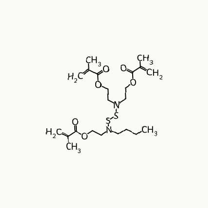 C=C(C)C(=O)OCCN(CCCC)SSN(CCOC(=O)C(=C)C)CCOC(=O)C(=C)C